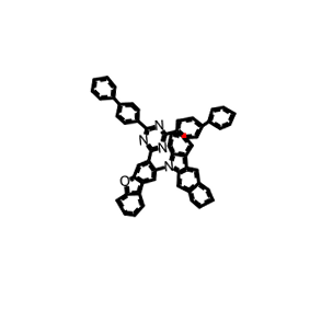 c1ccc(-c2ccc(-c3nc(-c4ccc(-c5ccccc5)cc4)nc(-c4cc5oc6ccccc6c5cc4-n4c5ccccc5c5cc6ccccc6cc54)n3)cc2)cc1